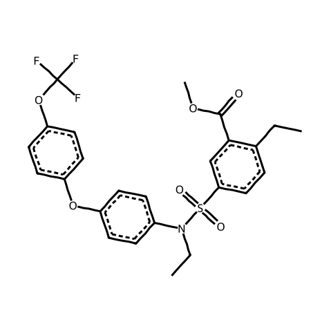 CCc1ccc(S(=O)(=O)N(CC)c2ccc(Oc3ccc(OC(F)(F)F)cc3)cc2)cc1C(=O)OC